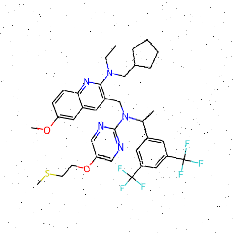 CCN(CC1CCCC1)c1nc2ccc(OC)cc2cc1CN(c1ncc(OCCSC)cn1)C(C)c1cc(C(F)(F)F)cc(C(F)(F)F)c1